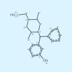 CC1CN(C(c2ccccc2)c2cccc(O)c2)C(C)CN1CC(=O)O